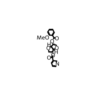 COc1ccccc1C(=O)O[C@H]1CO[C@H]2[C@@H]1OC[C@H]2OC(=O)c1cccnc1